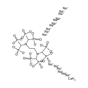 O=P([O-])([O-])C(N(CCN(C(P(=O)([O-])[O-])P(=O)([O-])[O-])C(P(=O)([O-])[O-])P(=O)([O-])[O-])C(P(=O)([O-])[O-])P(=O)([O-])[O-])P(=O)([O-])[O-].[CaH2].[Na+].[Na+].[Na+].[Na+].[Na+].[Na+].[Na+].[Na+].[Na+].[Na+].[Na+].[Na+].[Na+].[Na+].[Na+].[Na+]